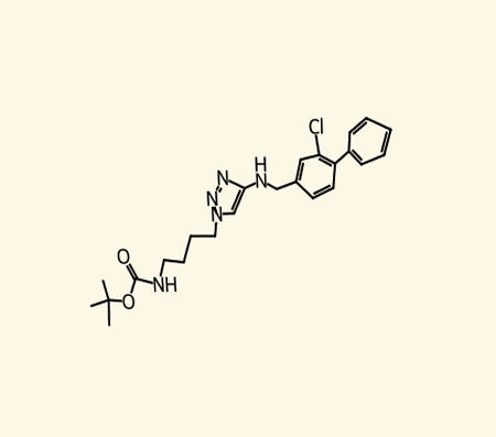 CC(C)(C)OC(=O)NCCCCn1cc(NCc2ccc(-c3ccccc3)c(Cl)c2)nn1